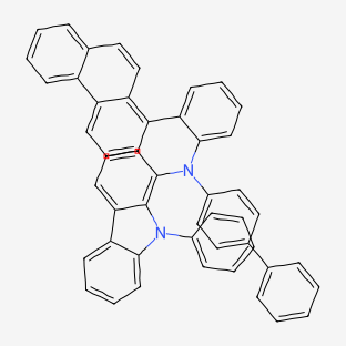 c1ccc(-c2ccc(N(c3ccccc3-c3cccc4c3ccc3ccccc34)c3cccc4c5ccccc5n(-c5ccccc5)c34)cc2)cc1